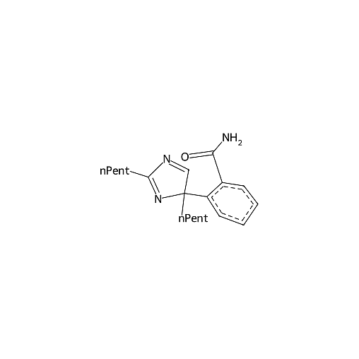 CCCCCC1=NC(CCCCC)(c2ccccc2C(N)=O)C=N1